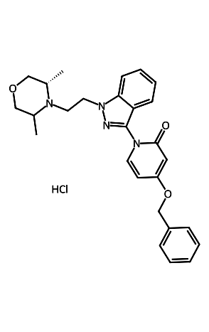 CC1COC[C@H](C)N1CCn1nc(-n2ccc(OCc3ccccc3)cc2=O)c2ccccc21.Cl